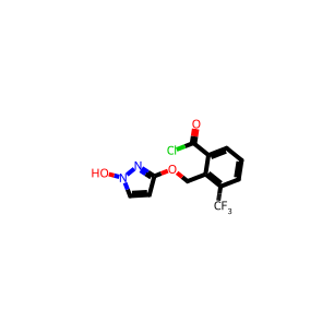 O=C(Cl)c1cccc(C(F)(F)F)c1COc1ccn(O)n1